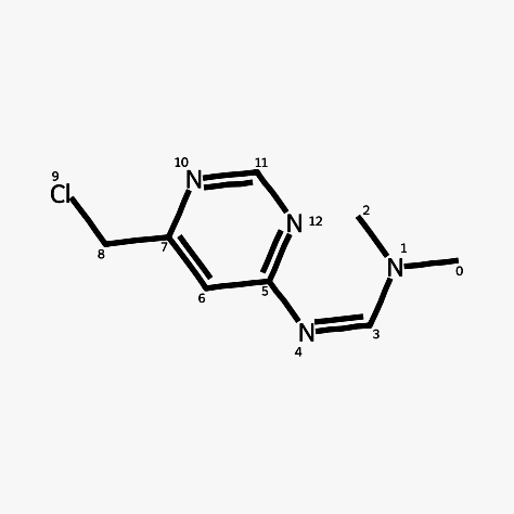 CN(C)/C=N\c1cc(CCl)ncn1